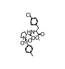 COC(=O)[C@H](Cc1ccc(Cl)cc1)NC(=O)[C@@H]1CCCN1S(=O)(=O)c1ccc(C)cc1